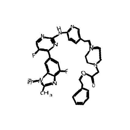 Cc1nc2c(F)cc(-c3nc(Nc4ccc(CN5CCN(CC(=O)OCc6ccccc6)CC5)cn4)ncc3F)cc2n1C(C)C